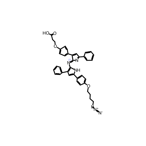 [N-]=[N+]=NCCCCOc1ccc(-c2cc(-c3ccccc3)c(/N=C3\N=C(c4ccccc4)C=C3c3ccc(OCCC(=O)O)cc3)[nH]2)cc1